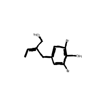 C/C=C(/CO)Cc1cc(Br)c(O)c(Br)c1